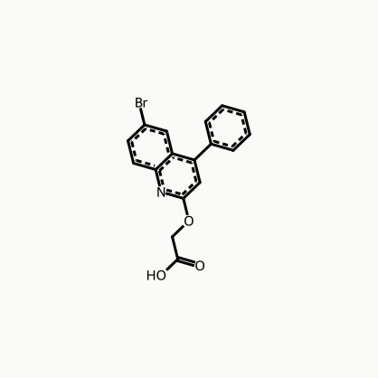 O=C(O)COc1cc(-c2ccccc2)c2cc(Br)ccc2n1